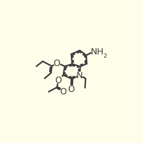 CC=C(CC)Oc1c(OC(C)=O)c(=O)n(CC)c2cc(N)ccc12